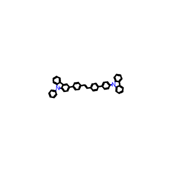 C(=C\c1ccc(-c2ccc3c(c2)c2ccccc2n3-c2ccccc2)cc1)/c1ccc(-c2ccc(-n3c4ccccc4c4ccccc43)cc2)cc1